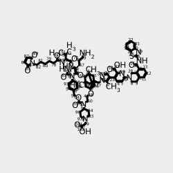 Cc1c(-c2ccc(N3CCc4cccc(C(=O)Nc5nc6ccccc6s5)c4C3)nc2C(=O)O)cnn1CC12CC3(C)CC(C)(C1)CC(OCCN(C(=O)OCc1ccc(N(C(N)=O)C(=O)[C@H](CCCN)NC(=O)[C@@H](NC(=O)CCCCCN4C(=O)C=CC4=O)C(C)C)cc1)C1CCN(CC(=O)O)CC1)(C3)C2